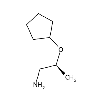 C[C@@H](CN)OC1CCCC1